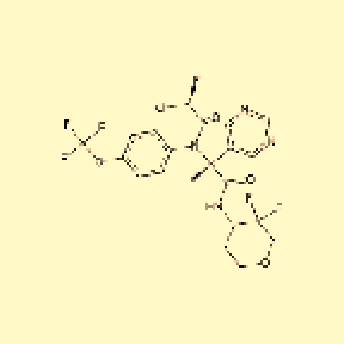 C[C@](C(=O)N[C@H]1CCOCC1(F)F)(c1cncnc1)N(C(=O)[C@H](F)Cl)c1ccc(OC(F)(F)F)cc1